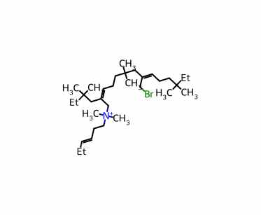 CC/C=C/CC[N+](C)(C)C/C(=C\CCC(C)(C)C/C(=C/CCC(C)(C)CC)CBr)CC(C)(C)CC